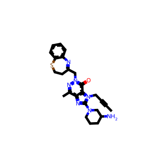 CC#CCn1c(N2CCCC(N)C2)nc2c(C)nn(CC3=Nc4ccccc4SCC3)c(=O)c21